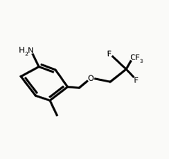 Cc1ccc(N)cc1COCC(F)(F)C(F)(F)F